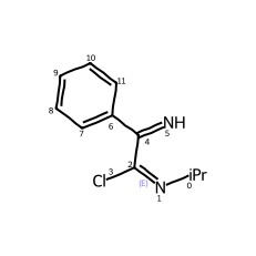 CC(C)/N=C(/Cl)C(=N)c1ccccc1